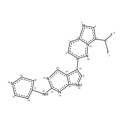 FC(F)c1cnc2ccc(-c3c[nH]c4nc(Nc5ccncc5)ncc34)nn12